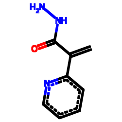 C=C(C(=O)NN)c1ccccn1